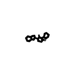 Cc1c(-c2ccc3ccccc3c2)ccc2oc3ccccc3c12